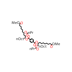 CCCCCCCCC(OC(=O)CCC)C(CCCCCCCC(=O)OC)OC(=O)c1ccc(C(=O)OC(CCCCCCCC)C(CCCCCCCC(=O)OC)OC(=O)CCC)cc1